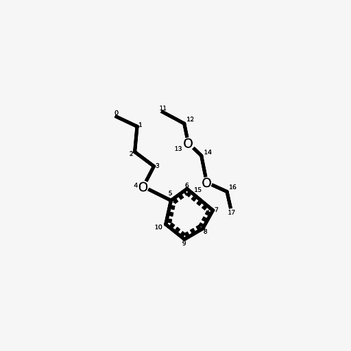 CCCCOc1ccccc1.CCOCOCC